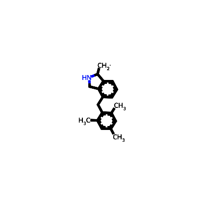 [CH2]C1NCc2c(Cc3c(C)cc(C)cc3C)cccc21